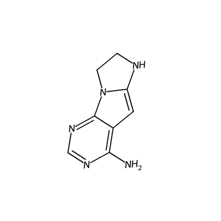 Nc1ncnc2c1cc1n2CCN1